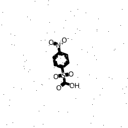 O=C(O)S(=O)(=O)c1ccc([N+](=O)[O-])cc1